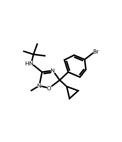 CN1OC(c2ccc(Br)cc2)(C2CC2)N=C1NC(C)(C)C